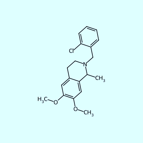 COc1cc2c(cc1OC)C(C)N(Cc1ccccc1Cl)CC2